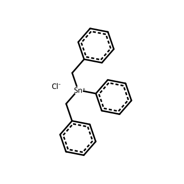 [Cl-].c1ccc([CH2][Sn+]([CH2]c2ccccc2)[c]2ccccc2)cc1